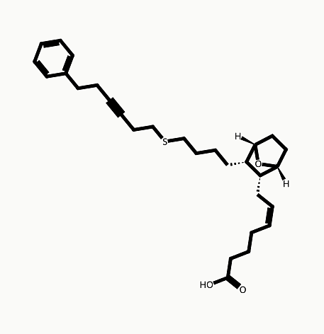 O=C(O)CCC/C=C\C[C@@H]1[C@H](CCCCSCCC#CCCc2ccccc2)[C@@H]2CC[C@H]1O2